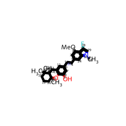 COc1cc(/C=C/c2cc(O)c3c(c2)C[C@@H]2C(C)(C)CCC[C@@]2(C)O3)cc2c1c(F)cn2C